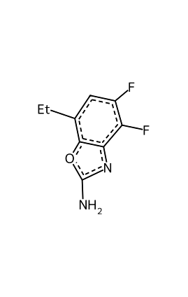 CCc1cc(F)c(F)c2nc(N)oc12